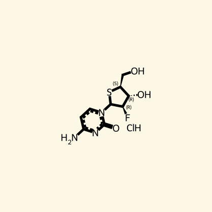 Cl.Nc1ccn(C2S[C@@H](CO)[C@H](O)[C@H]2F)c(=O)n1